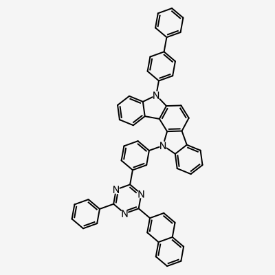 c1ccc(-c2ccc(-n3c4ccccc4c4c3ccc3c5ccccc5n(-c5cccc(-c6nc(-c7ccccc7)nc(-c7ccc8ccccc8c7)n6)c5)c34)cc2)cc1